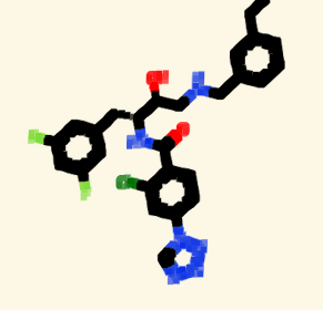 CCc1cccc(CNC[C@H](O)[C@@H](Cc2cc(F)cc(F)c2)NC(=O)c2ccc(-n3cnnn3)cc2Cl)c1